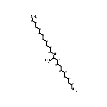 NCCCCCCCCCCCNC(N)CCCCCCCCCN